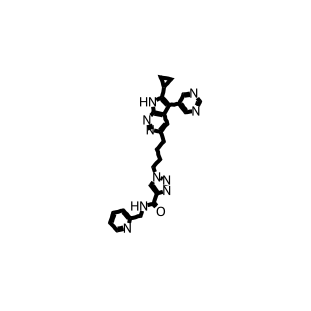 O=C(NCc1ccccn1)c1cn(CCCCc2cc3c(-c4cncnc4)c(C4CC4)[nH]c3nn2)nn1